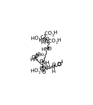 CC(C)(C)OC(=O)NCCCCC(NC(=O)CCCCCCCNC(=O)CCC(NC(=O)NC(CCC(=O)O)C(=O)O)C(=O)O)C(=O)NC(CCCCNC(=O)Cc1ccc(I)cc1)C(=O)C(=O)O